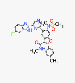 CNC(=O)c1c(-c2ccc(C)cc2)oc2cc(N(C)S(C)(=O)=O)c(-c3cncc(-c4nc5ccc(F)cc5[nH]4)n3)cc12